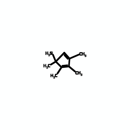 CC1=CC(C)([SiH3])C(C)=C1C